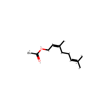 CCC(C)C(=O)OCC=C(C)CCC=C(C)C